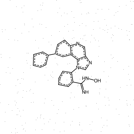 N=C(NO)c1ccccc1-n1cnc2cnc3ccc(-c4ccccc4)cc3c21